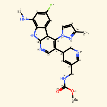 CCNc1cc(F)cc2c1NC1N=CC(C3C=C(CNC(=O)OC(C)(C)C)C=NC3)=C(n3ccc(C(F)(F)F)n3)C21